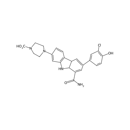 NC(=O)C1=CC(c2ccc(O)c(Cl)c2)=CC2c3ccc(N4CCN(C(=O)O)CC4)cc3NC12